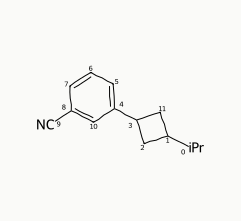 CC(C)C1CC(c2cccc(C#N)c2)C1